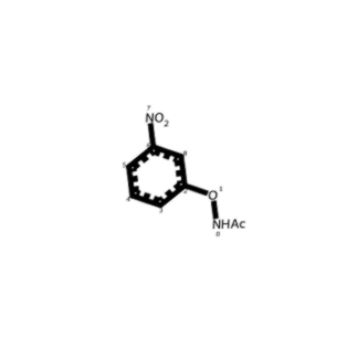 CC(=O)NOc1cccc([N+](=O)[O-])c1